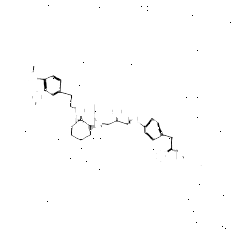 COc1ccc(CCO[C@@H]2CCCC[C@@H]2NCC(O)COc2ccc(CC(N)=O)cc2)cc1OC